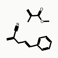 C=C(C#N)CC=Cc1ccccc1.C=C(C)C(=O)OC